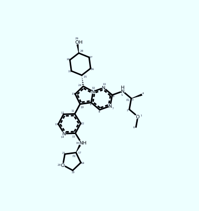 COC[C@H](C)Nc1ncc2c(-c3ccnc(N[C@H]4CCOC4)c3)cc([C@H]3CC[C@H](O)CC3)n2n1